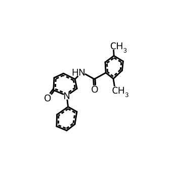 Cc1ccc(C)c(C(=O)Nc2ccc(=O)n(-c3ccccc3)c2)c1